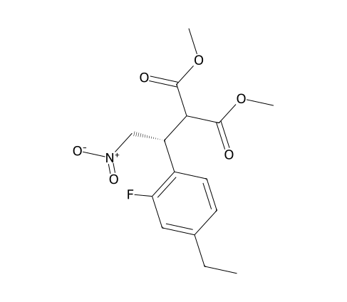 CCc1ccc([C@H](C[N+](=O)[O-])C(C(=O)OC)C(=O)OC)c(F)c1